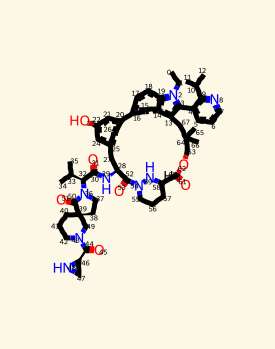 CCn1c(-c2cccnc2C(C)C)c2c3cc(ccc31)-c1cc(O)cc(c1)C[C@H](NC(=O)[C@H](C(C)C)N1CC[C@@]3(CCCN(C(=O)[C@H]4CN4)C3)C1=O)C(=O)N1CCC[C@H](N1)C(=O)OCC(C)(C)C2